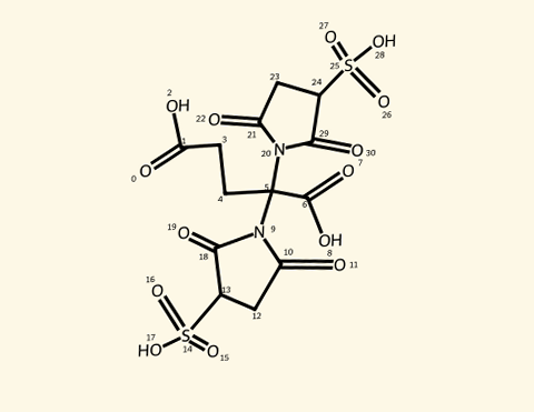 O=C(O)CCC(C(=O)O)(N1C(=O)CC(S(=O)(=O)O)C1=O)N1C(=O)CC(S(=O)(=O)O)C1=O